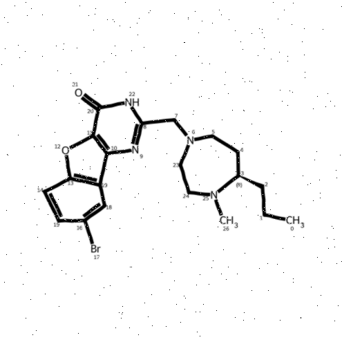 CCC[C@@H]1CCN(Cc2nc3c(oc4ccc(Br)cc43)c(=O)[nH]2)CCN1C